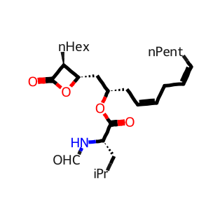 CCCCC/C=C\C/C=C\C[C@@H](C[C@@H]1OC(=O)[C@H]1CCCCCC)OC(=O)[C@H](CC(C)C)NC=O